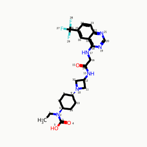 CCN(C(=O)O)[C@H]1CC[C@H](N2CC(NC(=O)CNc3ncnc4ccc(C(F)(F)F)cc34)C2)CC1